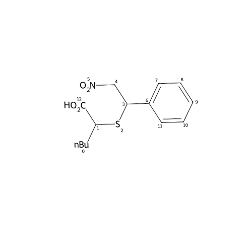 CCCCC(SC(C[N+](=O)[O-])c1ccccc1)C(=O)O